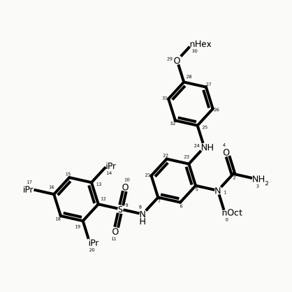 CCCCCCCCN(C(N)=O)c1cc(NS(=O)(=O)c2c(C(C)C)cc(C(C)C)cc2C(C)C)ccc1Nc1ccc(OCCCCCC)cc1